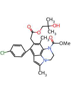 COC(=O)N1CCn2c(C)cc3c(-c4ccc(Cl)cc4)c(CC(=O)OCC(C)(C)O)c(C)c1c32